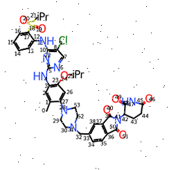 Cc1cc(Nc2ncc(Cl)c(Nc3ccccc3S(=O)(=O)C(C)C)n2)c(OC(C)C)cc1N1CCN(Cc2ccc3c(c2)C(=O)N(C2CCC(=O)NC2=O)C3=O)CC1